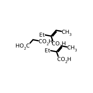 CC=C(CC)C(=O)O.CC=C(CC)C(=O)O.O=C(O)CC(=O)O